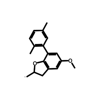 [CH2]C1Cc2cc(OC)cc(-c3cc(C)ccc3C)c2O1